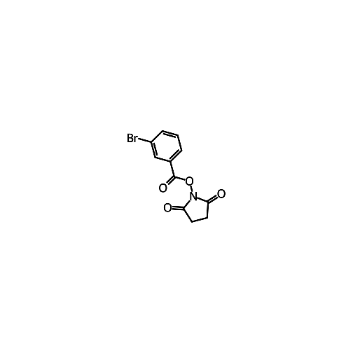 O=C(ON1C(=O)CCC1=O)c1cccc(Br)c1